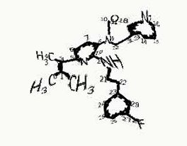 CC(C)=C(C)c1ccc(N(C=O)Cc2cccnc2)c(NCCc2cccc(F)c2)n1